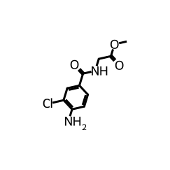 COC(=O)CNC(=O)c1ccc(N)c(Cl)c1